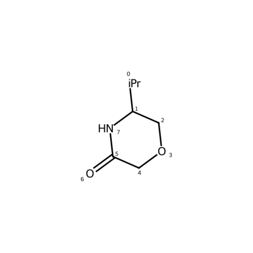 CC(C)C1COCC(=O)N1